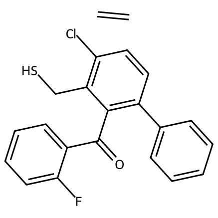 C=C.O=C(c1ccccc1F)c1c(-c2ccccc2)ccc(Cl)c1CS